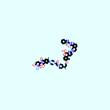 Cc1c(OCC[C@@H](C)C2CCN(CC(=O)N3CCN(c4cc5c(cc4F)C(=O)N(C4CCC(=O)NC4=O)C5=O)CC3)CC2)cccc1-c1ccc(N2CCc3cccc(C(=O)Nc4nc5ccccc5s4)c3C2)nc1C(=O)O